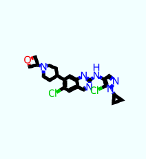 Clc1cc2cnc(Nc3cnn(C4CC4)c3Cl)nc2cc1C1CCN(C2COC2)CC1